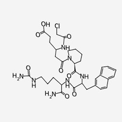 NC(=O)NCCCC(NC(=O)C(Cc1ccc2ccccc2c1)NC(=O)[C@@H]1CCCCN1C(=O)CC(CCC(=O)O)NC(=O)CCl)C(N)=O